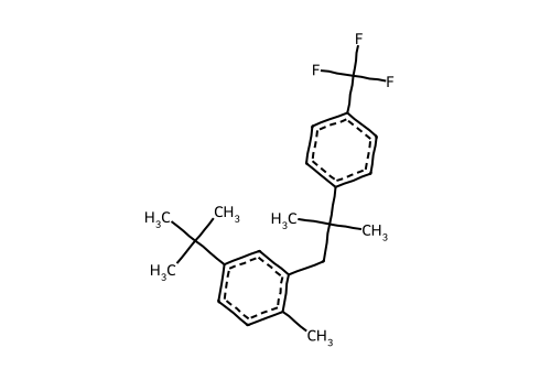 Cc1ccc(C(C)(C)C)cc1CC(C)(C)c1ccc(C(F)(F)F)cc1